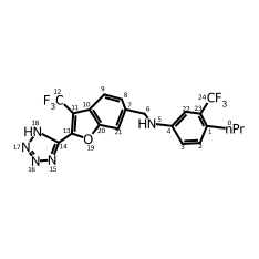 CCCc1ccc(NCc2ccc3c(C(F)(F)F)c(-c4nnn[nH]4)oc3c2)cc1C(F)(F)F